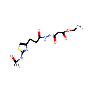 CCOC(=O)CC(=O)NNC(=O)CCc1csc(NC(C)=O)n1